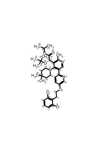 Cc1ncc(-c2ccc(OCCc3c(Cl)cccc3Cl)cn2)c(N2CCC(C)(C)CC2)c1[C@H](OC(C)(C)C)C(=O)OC(C)C